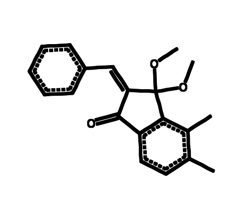 COC1(OC)/C(=C/c2ccccc2)C(=O)c2ccc(C)c(C)c21